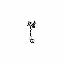 BrC(Br)(Br)C(Br)(Br)CCCCCCOC1CCCO1